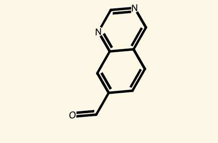 O=Cc1ccc2cncnc2c1